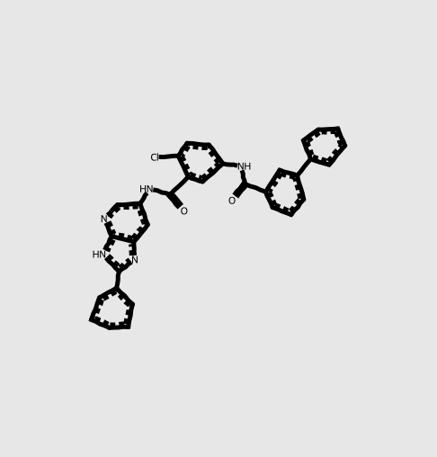 O=C(Nc1ccc(Cl)c(C(=O)Nc2cnc3[nH]c(-c4ccccc4)nc3c2)c1)c1cccc(-c2ccccc2)c1